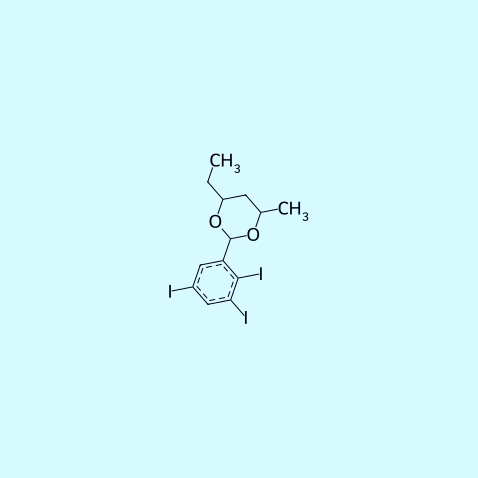 CCC1CC(C)OC(c2cc(I)cc(I)c2I)O1